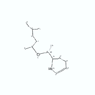 CC(C)CCC(C)O[C@H](C)C1CCC=CN1